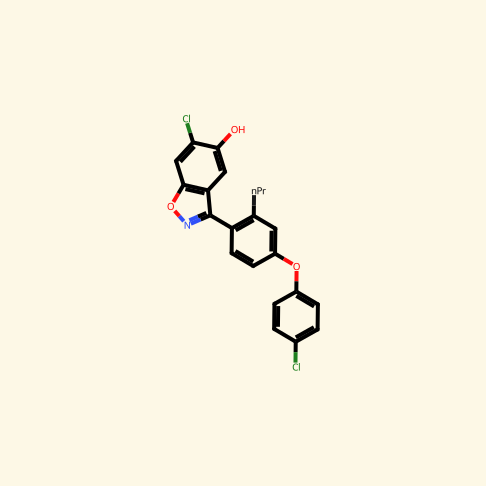 CCCc1cc(Oc2ccc(Cl)cc2)ccc1-c1noc2cc(Cl)c(O)cc12